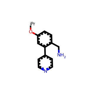 CC(C)Oc1ccc(CN)c(-c2ccncc2)c1